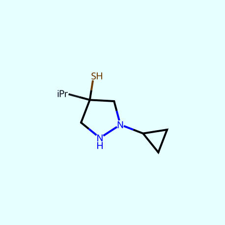 CC(C)C1(S)CNN(C2CC2)C1